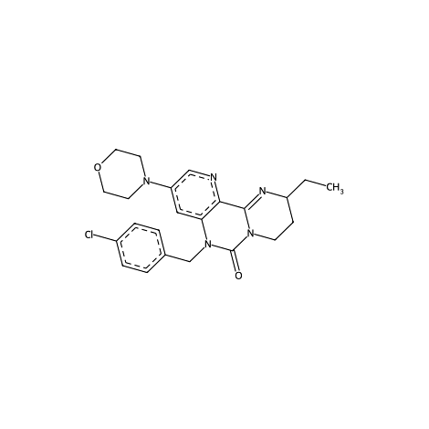 CCC1CCN2C(=O)N(Cc3ccc(Cl)cc3)c3cc(N4CCOCC4)cnc3C2=N1